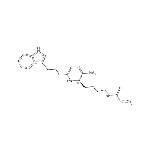 C=CC(=O)NCCCC[C@@H](NC(=O)CCCc1c[nH]c2ccccc12)C(N)=O